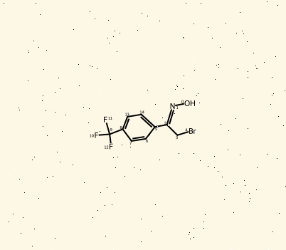 ON=C(CBr)c1ccc(C(F)(F)F)cc1